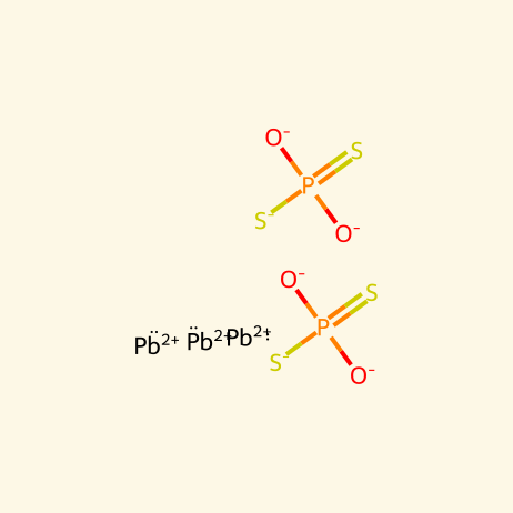 [O-]P([O-])(=S)[S-].[O-]P([O-])(=S)[S-].[Pb+2].[Pb+2].[Pb+2]